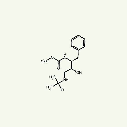 CCC(C)(C)NC[C@H](O)[C@H](Cc1ccccc1)NC(=O)OC(C)(C)C